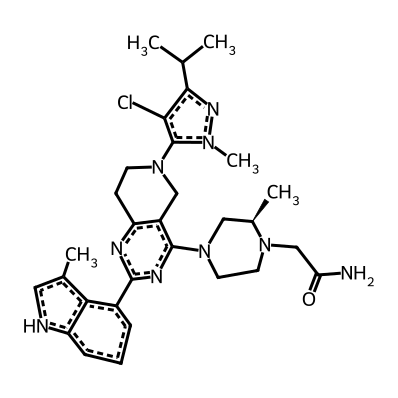 Cc1c[nH]c2cccc(-c3nc4c(c(N5CCN(CC(N)=O)[C@H](C)C5)n3)CN(c3c(Cl)c(C(C)C)nn3C)CC4)c12